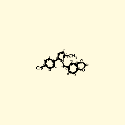 Cc1ccc(-c2ccc(Cl)cc2)n1Cc1ccc2c(c1)OCO2